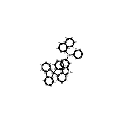 c1ccc(N(c2ccc3c(c2)oc2cccc(C4(c5ccccc5)c5ccccc5-c5ccccc54)c23)c2cccc3ccccc23)cc1